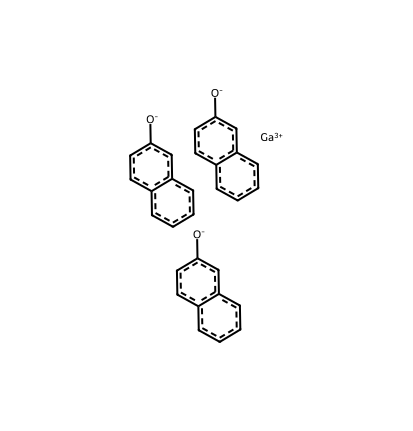 [Ga+3].[O-]c1ccc2ccccc2c1.[O-]c1ccc2ccccc2c1.[O-]c1ccc2ccccc2c1